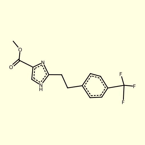 COC(=O)c1c[nH]c(CCc2ccc(C(F)(F)F)cc2)n1